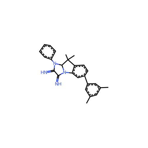 Cc1cc(C)cc(-c2ccc3c(c2)N2C(=N)C(=N)N(c4ccccc4)C2C3(C)C)c1